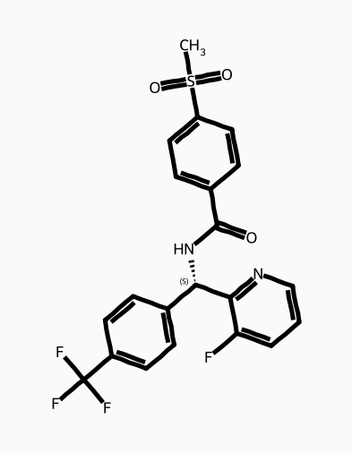 CS(=O)(=O)c1ccc(C(=O)N[C@@H](c2ccc(C(F)(F)F)cc2)c2ncccc2F)cc1